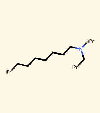 CCCN(CCCCCCCC(C)C)CC(C)C